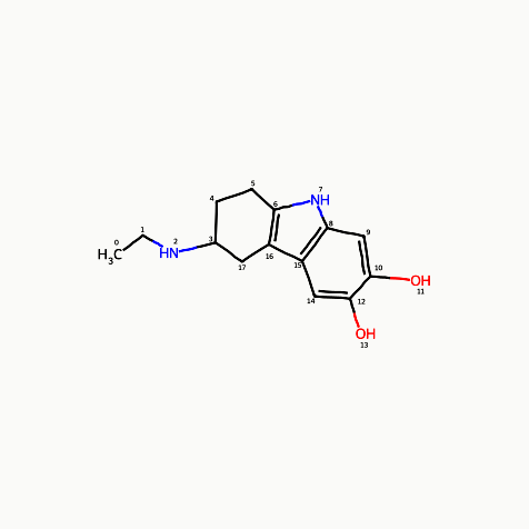 CCNC1CCc2[nH]c3cc(O)c(O)cc3c2C1